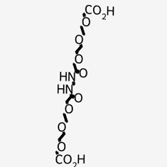 O=C(O)COCCOCCOCC(=O)NCNC(=O)COCCOCCOCC(=O)O